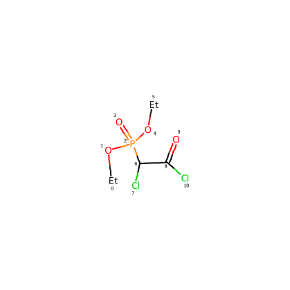 CCOP(=O)(OCC)C(Cl)C(=O)Cl